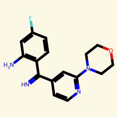 N=C(c1ccnc(N2CCOCC2)c1)c1ccc(F)cc1N